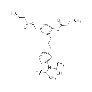 CCCC(=O)OCc1ccc(OC(=O)CCC)c(CCCc2cccc(N(C(C)C)C(C)C)c2)c1